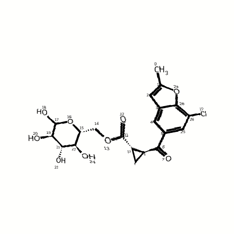 Cc1cc2cc(C(=O)[C@H]3C[C@@H]3C(=O)OC[C@H]3OC(O)[C@H](O)[C@@H](O)[C@@H]3O)cc(Cl)c2o1